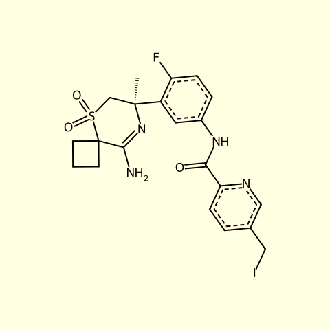 C[C@@]1(c2cc(NC(=O)c3ccc(CI)cn3)ccc2F)CS(=O)(=O)C2(CCC2)C(N)=N1